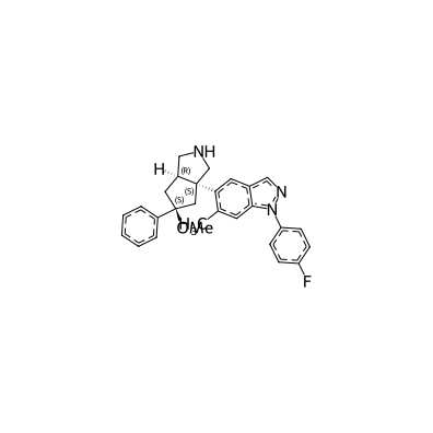 CO[C@@]1(c2ccccc2)C[C@H]2CNC[C@@]2(c2cc3cnn(-c4ccc(F)cc4)c3cc2C)C1